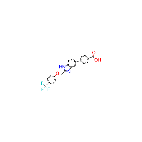 O=C(O)c1ccc(-c2ccc3[nH]c(COc4ccc(C(F)(F)F)cc4)nc3c2)cc1